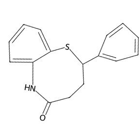 O=C1CCC(c2ccccc2)Sc2ccccc2N1